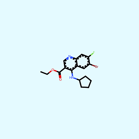 CCOC(=O)c1cnc2cc(F)c(Br)cc2c1NC1CCCC1